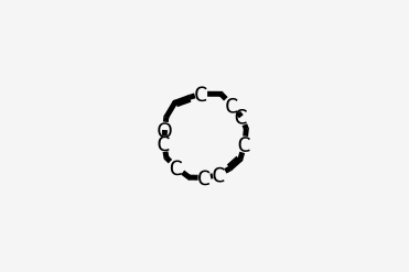 C1=CCCCCCCOCC=CCCCCCC1